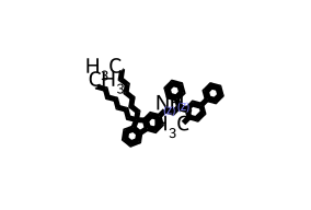 CCCCCCCCC1(CCCCCCCC)c2ccccc2-c2ccc(/C(N)=C/C(=C3/C=C(c4ccccc4)C=CC3C)c3ccccc3)cc21